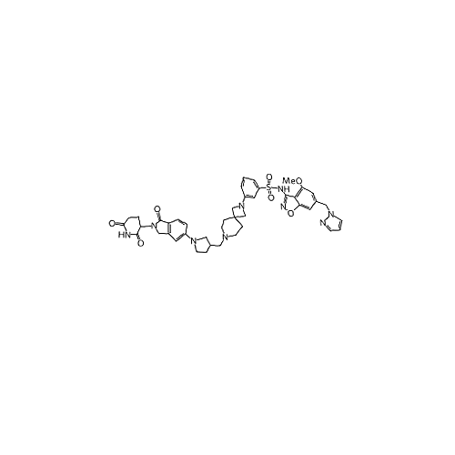 COc1cc(Cn2cccn2)cc2onc(NS(=O)(=O)c3cccc(N4CC5(CCN(CC6CCN(c7ccc8c(c7)CN(C7CCC(=O)NC7=O)C8=O)C6)CC5)C4)c3)c12